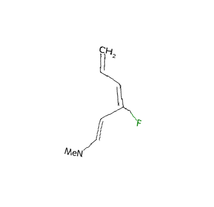 C=C/C=C(F)\C=C\NC